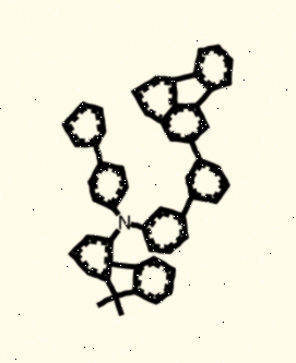 CC1(C)c2ccccc2-c2c(N(c3ccc(-c4ccccc4)cc3)c3cccc(-c4cccc(-c5cc6c7c(cccc7c5)-c5ccccc5-6)c4)c3)cccc21